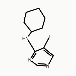 Ic1cncnc1NC1CCCCC1